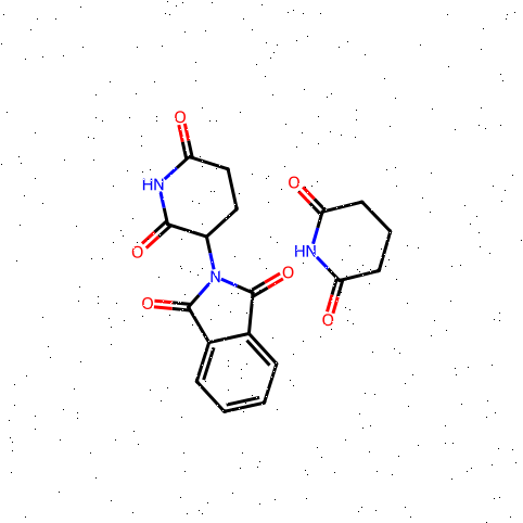 O=C1CCC(N2C(=O)c3ccccc3C2=O)C(=O)N1.O=C1CCCC(=O)N1